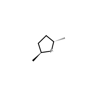 C[C@H]1CC[C@H](C)[P]1